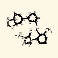 Cc1cccc(-n2nnn(C)c2=O)c1COc1cccc(-c2ccc3c(c2)OCO3)c1